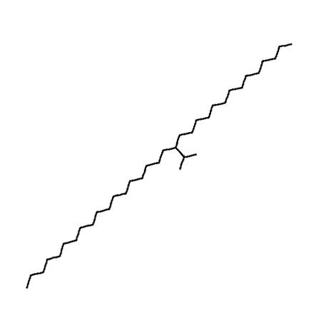 CCCCCCCCCCCCCCCCCCC(CCCCCCCCCCCCCC)[C](C)C